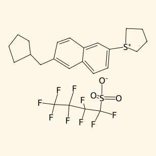 O=S(=O)([O-])C(F)(F)C(F)(F)C(F)(F)C(F)(F)F.c1cc2cc([S+]3CCCC3)ccc2cc1CC1CCCC1